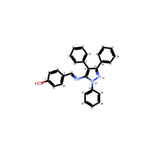 Oc1ccc(/C=N/c2c(-c3ccccc3)c(-c3ccccc3)nn2-c2ccccc2)cc1